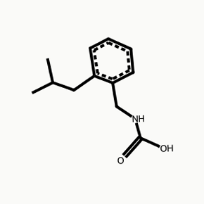 CC(C)Cc1ccccc1CNC(=O)O